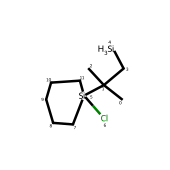 CC(C)(C[SiH3])[Si]1(Cl)CCCCC1